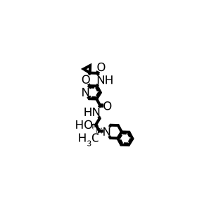 C[C@H]([C@H](O)CNC(=O)c1cnc2c(c1)NC(=O)C1(CC1)O2)N1CCc2ccccc2C1